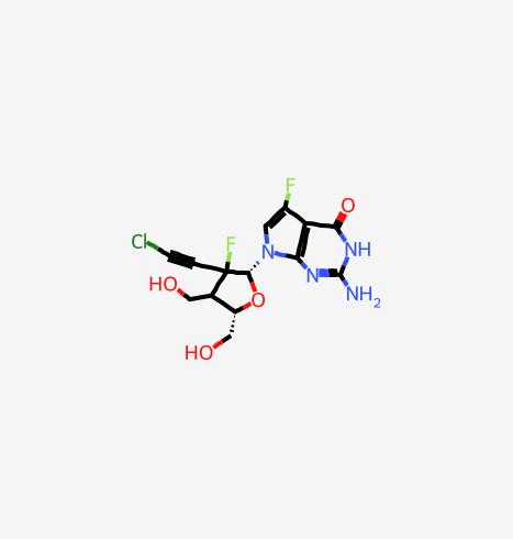 Nc1nc2c(c(F)cn2[C@@H]2O[C@H](CO)C(CO)C2(F)C#CCl)c(=O)[nH]1